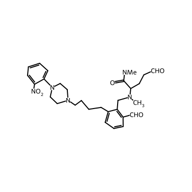 CNC(=O)C(CCC=O)N(C)Cc1c(C=O)cccc1CCCCN1CCN(c2ccccc2[N+](=O)[O-])CC1